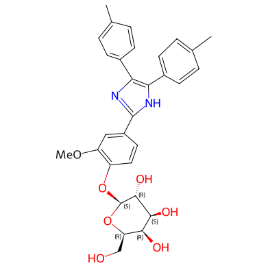 COc1cc(-c2nc(-c3ccc(C)cc3)c(-c3ccc(C)cc3)[nH]2)ccc1O[C@@H]1O[C@H](CO)[C@H](O)[C@H](O)[C@H]1O